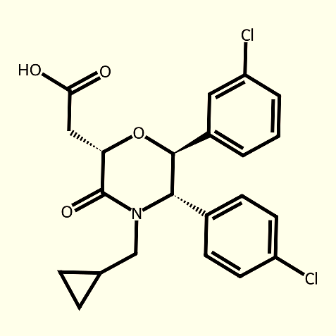 O=C(O)C[C@@H]1O[C@@H](c2cccc(Cl)c2)[C@H](c2ccc(Cl)cc2)N(CC2CC2)C1=O